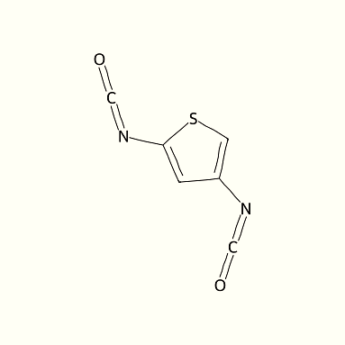 O=C=Nc1csc(N=C=O)c1